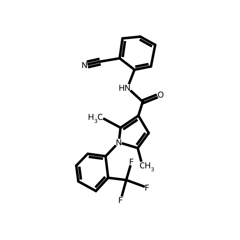 Cc1cc(C(=O)Nc2ccccc2C#N)c(C)n1-c1ccccc1C(F)(F)F